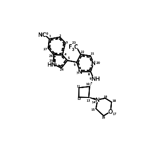 N#Cc1ccc2c(-c3nc(N[C@H]4CC[C@@H]4N4CCOCC4)ncc3C(F)(F)F)c[nH]c2c1